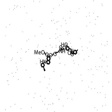 C#Cc1cccc(Nc2cccc3cc(OCCOCCCNC(=O)COc4ccc(Cn5c(=O)oc6ccc(C)cc65)cc4O)c(OCCOC)cc23)c1